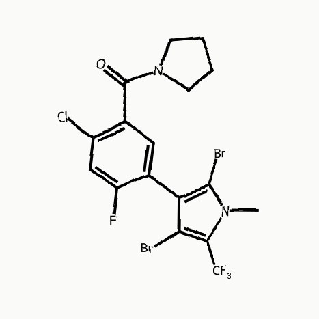 Cn1c(Br)c(-c2cc(C(=O)N3CCCC3)c(Cl)cc2F)c(Br)c1C(F)(F)F